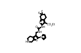 CCOC(=O)c1c(NC(=O)NCc2c(-n3cccc3)sc3c2CCNC3)sc2c1CCC(F)(F)C2